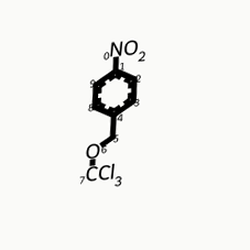 O=[N+]([O-])c1ccc(COC(Cl)(Cl)Cl)cc1